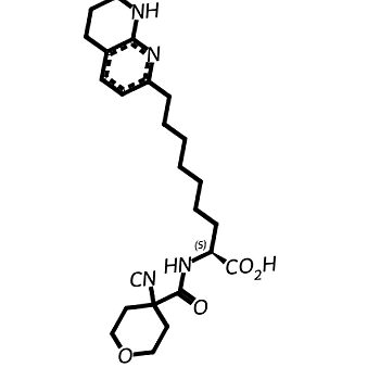 N#CC1(C(=O)N[C@@H](CCCCCCCc2ccc3c(n2)NCCC3)C(=O)O)CCOCC1